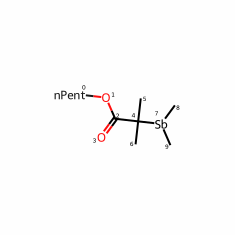 CCCCCOC(=O)[C](C)(C)[Sb]([CH3])[CH3]